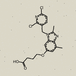 Cc1cc(OCCCC(=O)O)cc2c1nc(C)n2Cc1ccc(Cl)nc1Cl